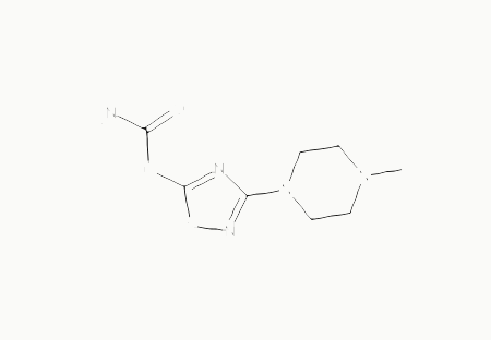 CN1CCN(c2nsc(OC(N)=O)n2)CC1